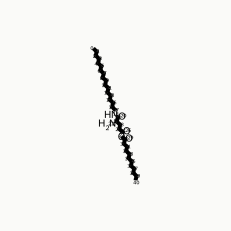 CCCCCCCCCCCCCCCCCCNC(=O)[C@@H](N)CCC(=O)OC(=O)CCCCCCCCCCC